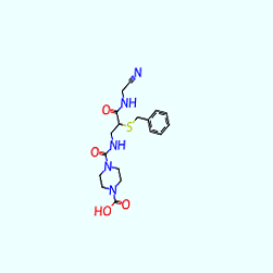 N#CCNC(=O)C(CNC(=O)N1CCN(C(=O)O)CC1)SCc1ccccc1